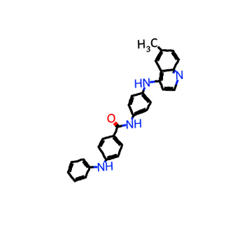 Cc1ccc2nccc(Nc3ccc(NC(=O)c4ccc(Nc5ccccc5)cc4)cc3)c2c1